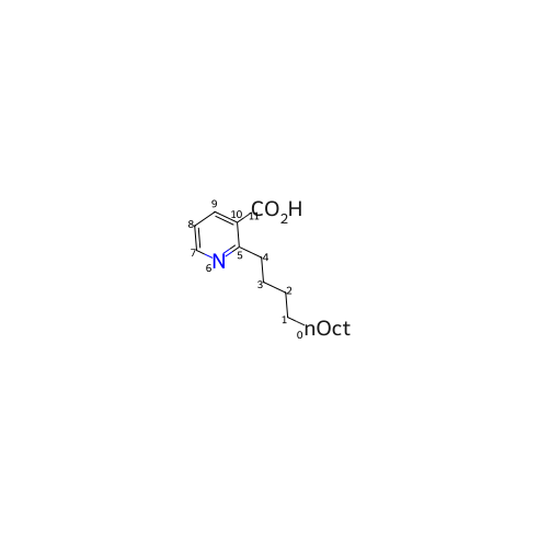 CCCCCCCCCCCCc1ncccc1C(=O)O